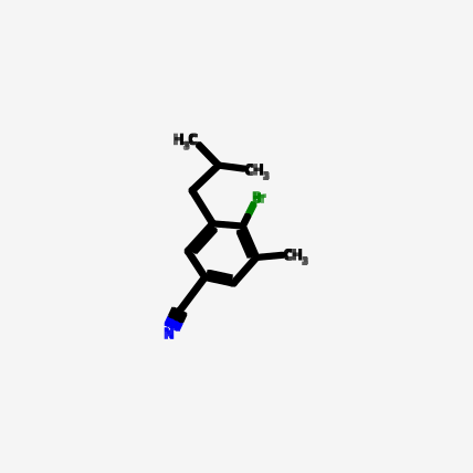 Cc1cc(C#N)cc(CC(C)C)c1Br